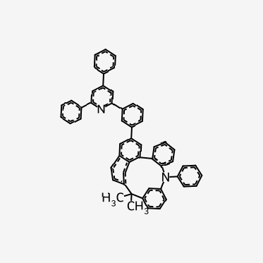 CC1(C)c2cccc(c2)N(c2ccccc2)c2ccccc2-c2cc(-c3cccc(-c4cc(-c5ccccc5)cc(-c5ccccc5)n4)c3)cc3ccc1cc23